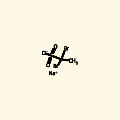 CC(Br)(Br)S(=O)(=O)[O-].[Na+]